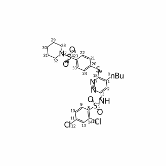 CCCCc1cc(NS(=O)(=O)c2ccc(Cl)cc2Cl)nnc1Sc1ccc(S(=O)(=O)N2CCCCC2)cc1